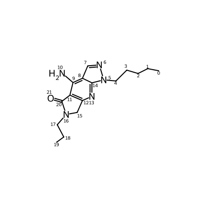 CCCCCn1ncc2c(N)c3c(nc21)CN(CCC)C3=O